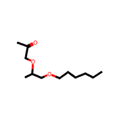 CCCCCCOCC(C)OCC(C)=O